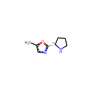 Cc1cnc([C@@H]2CCCN2)o1